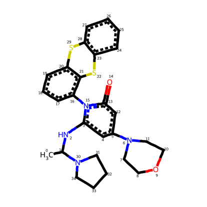 CC(Nc1cc(N2CCOCC2)cc(=O)n1-c1cccc2c1Sc1ccccc1S2)N1CCCC1